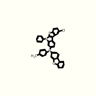 Cc1ccc(N(c2ccc3c(c2)oc2ccccc23)c2ccc3c4c5cc(Cl)ccc5sc4n(-c4ccccc4)c3c2)cc1